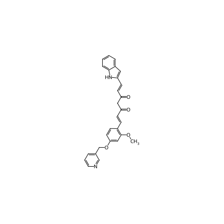 COc1cc(OCc2cccnc2)ccc1C=CC(=O)CC(=O)C=Cc1cc2ccccc2[nH]1